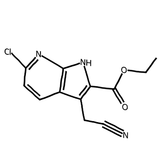 CCOC(=O)c1[nH]c2nc(Cl)ccc2c1CC#N